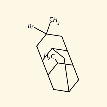 CC1C2CC3CC1C1CC(C)(Br)CC2C1C3